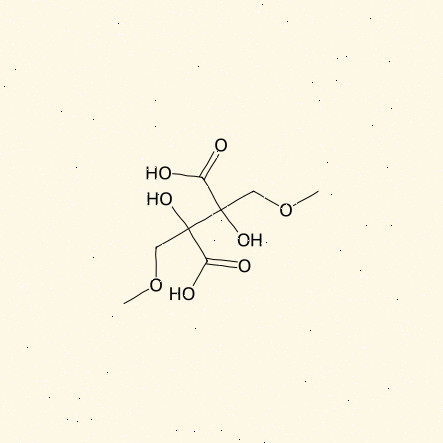 COCC(O)(C(=O)O)C(O)(COC)C(=O)O